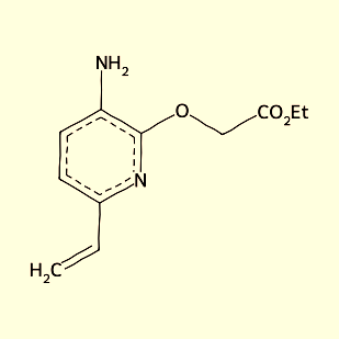 C=Cc1ccc(N)c(OCC(=O)OCC)n1